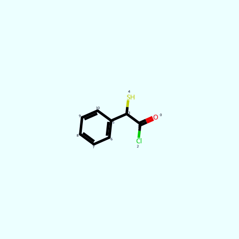 O=C(Cl)C(S)c1ccccc1